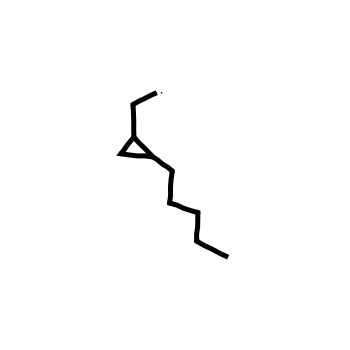 [CH2]CC1CC1CCCCC